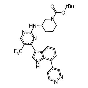 CC(C)(C)OC(=O)N1CCC[C@H](Nc2ncc(C(F)(F)F)c(-c3c[nH]c4c(-c5ccnnc5)cccc34)n2)C1